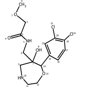 COCC(=O)NCC1(O)CNCCOC1c1ccc(Cl)c(Cl)c1